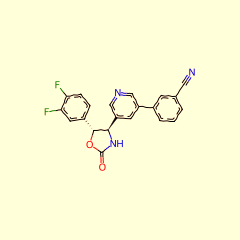 N#Cc1cccc(-c2cncc([C@H]3NC(=O)O[C@@H]3c3ccc(F)c(F)c3)c2)c1